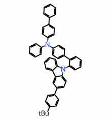 CC(C)(C)c1ccc(-c2ccc3c(c2)c2ccccc2n3-c2ccccc2-c2ccc(N(c3ccccc3)c3ccc(-c4ccccc4)cc3)cc2)cc1